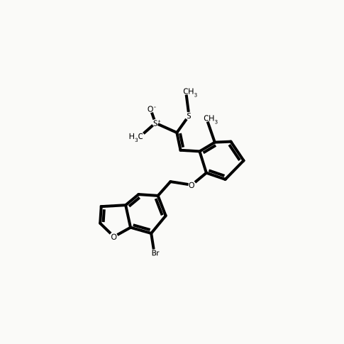 CSC(=Cc1c(C)cccc1OCc1cc(Br)c2occc2c1)[S+](C)[O-]